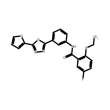 O=C(Nc1cccc(-c2nnc(-c3ccco3)o2)c1)c1cc(F)ccc1OCC(F)(F)F